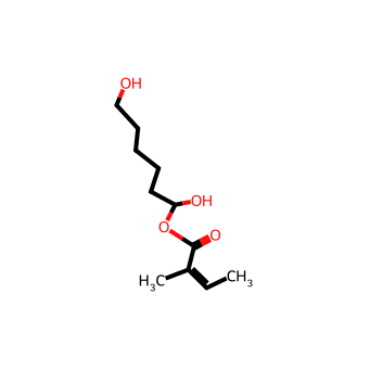 CC=C(C)C(=O)OC(O)CCCCCO